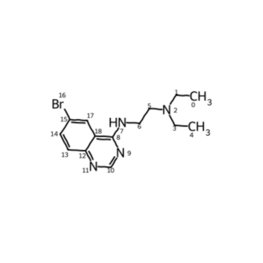 CCN(CC)CCNc1ncnc2ccc(Br)cc12